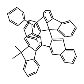 CC1(C)c2ccccc2-c2ccc(N(c3ccccc3)c3cccc4c3C3(c5ccccc5Oc5cc6ccccc6cc53)c3ccccc3-4)cc21